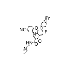 CC(C)N1CCN(c2c(F)cc3c(=O)c(C(=O)NCCN4CCCC4)cn4c3c2Oc2ccc(C#N)cc2-4)CC1